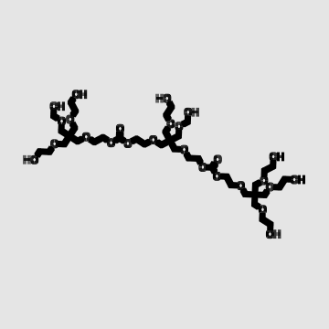 O=C(OCCOCC(COCO)(COCCO)COCCO)OCCOCC(COCO)(COCCO)COCCOC(=O)OCCOCC(COCCO)(COCCO)COCCO